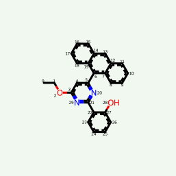 CCOc1cc(-c2c3ccccc3cc3ccccc23)nc(-c2ccccc2O)n1